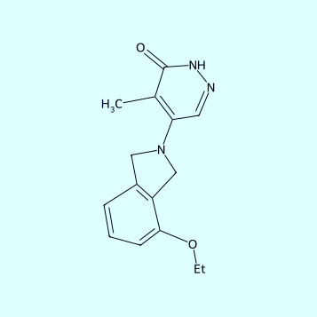 CCOc1cccc2c1CN(c1cn[nH]c(=O)c1C)C2